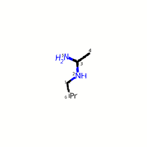 CC(C)[CH]NC(C)N